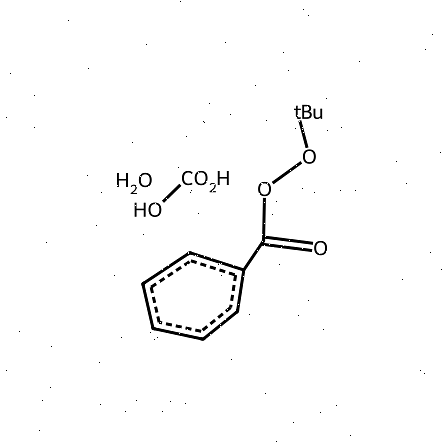 CC(C)(C)OOC(=O)c1ccccc1.O.O=C(O)O